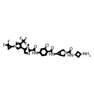 Cn1c(-c2cn(C3CC3(F)F)nc2C(F)(F)F)cnc1C(=O)Nc1ccc(C(=O)NC2C3CN(C(=O)N[C@H]4C[C@@H](N)C4)CC32)c(Cl)c1